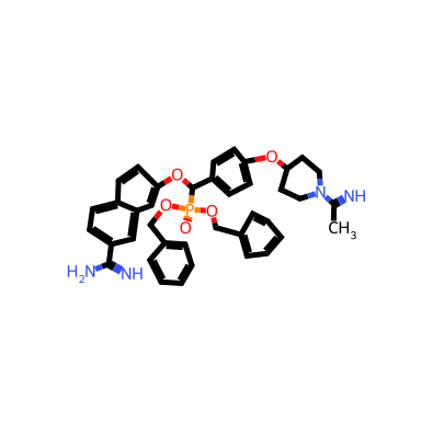 CC(=N)N1CCC(Oc2ccc(C(Oc3ccc4ccc(C(=N)N)cc4c3)P(=O)(OCc3ccccc3)OCc3ccccc3)cc2)CC1